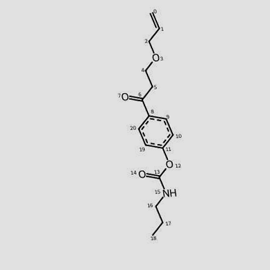 C=CCOCCC(=O)c1ccc(OC(=O)NCCC)cc1